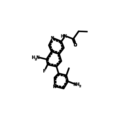 CCC(=O)Nc1cc2cc(-c3cncc(N)c3C)c(F)c(N)c2cn1